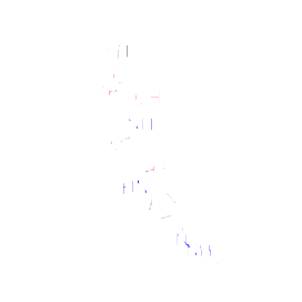 CCOC(=O)C(O)CNC(=O)CCC(=O)Nc1ccc(C=NN)cc1